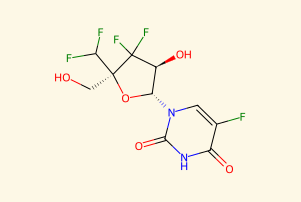 O=c1[nH]c(=O)n([C@@H]2O[C@@](CO)(C(F)F)C(F)(F)[C@H]2O)cc1F